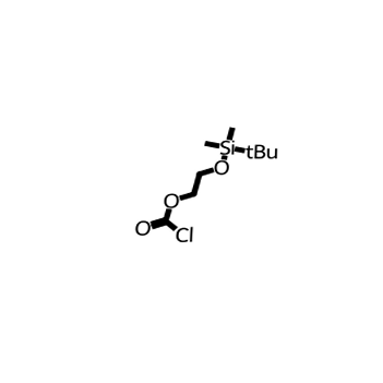 CC(C)(C)[Si](C)(C)OCCOC(=O)Cl